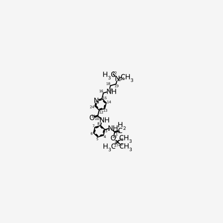 C=C(Nc1ccccc1NC(=O)c1ccc(CNCCN(C)C)nc1)OC(C)(C)C